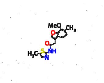 COc1c(C)ccc2c(CC(=O)Nc3ncc(C)s3)coc12